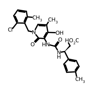 Cc1ccc([C@H](CC(=O)O)NC(=O)Nc2c(O)c(C)cn(Cc3c(C)cccc3Cl)c2=O)cc1